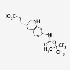 CC(C)(OC(=O)Nc1ccc2c(c1)NC[C@@H](CCC(=O)O)C2)C(F)(F)F